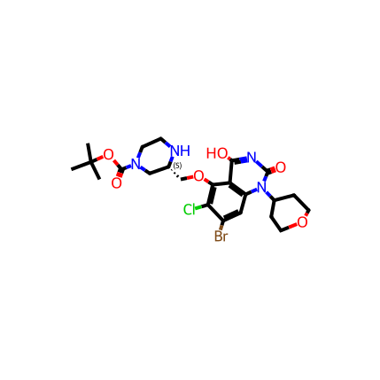 CC(C)(C)OC(=O)N1CCN[C@H](COc2c(Cl)c(Br)cc3c2c(O)nc(=O)n3C2CCOCC2)C1